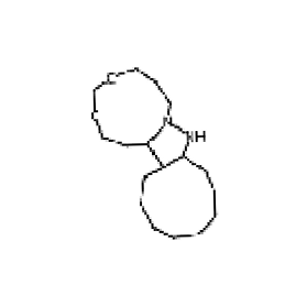 C1CCCCC2C(CCC1)NN1CCCCCCCCC21